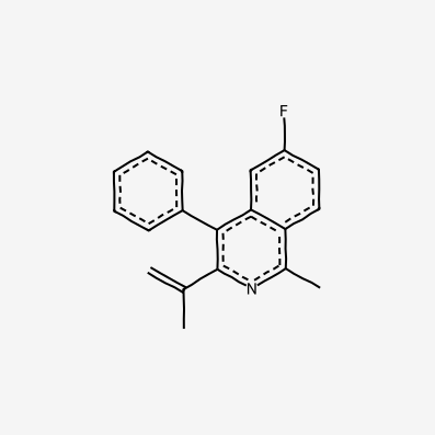 C=C(C)c1nc(C)c2ccc(F)cc2c1-c1ccccc1